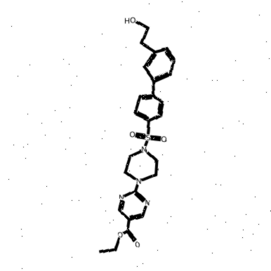 CCOC(=O)c1cnc(N2CCN(S(=O)(=O)c3ccc(-c4cccc(CCO)c4)cc3)CC2)nc1